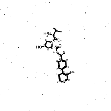 CC(C)[C@H](N)C(=O)N1C[C@H](O)C[C@H]1C(=O)N[C@@H](C)c1ccc(-c2ccncc2F)cc1